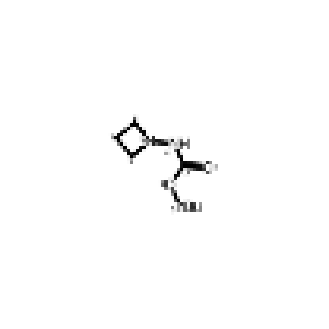 CCCCOC(=O)NN1CCC1